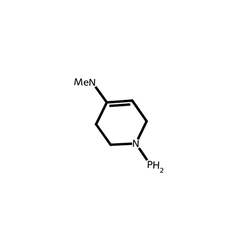 CNC1=CCN(P)CC1